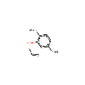 C=CC.COc1ccc(C=O)cc1O